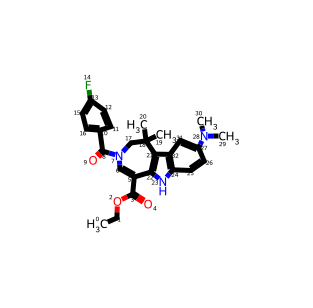 CCOC(=O)C1=CN(C(=O)c2ccc(F)cc2)CC(C)(C)c2c1[nH]c1ccc(N(C)C)cc21